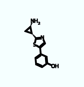 N[C@H]1C[C@H]1c1ncc(-c2cccc(O)c2)s1